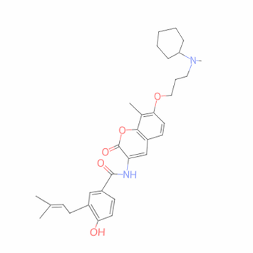 CC(C)=CCc1cc(C(=O)Nc2cc3ccc(OCCCN(C)C4CCCCC4)c(C)c3oc2=O)ccc1O